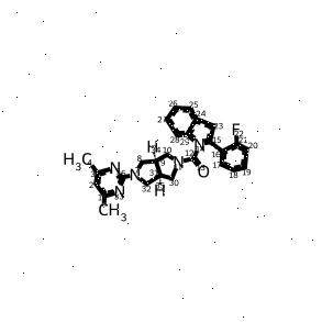 Cc1cc(C)nc(N2C[C@H]3CN(C(=O)n4c(-c5ccccc5F)cc5ccccc54)C[C@H]3C2)n1